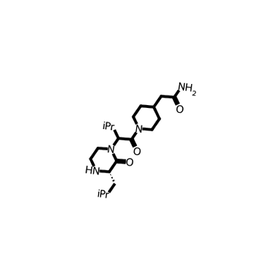 CC(C)C[C@@H]1NCCN(C(C(=O)N2CCC(CC(N)=O)CC2)C(C)C)C1=O